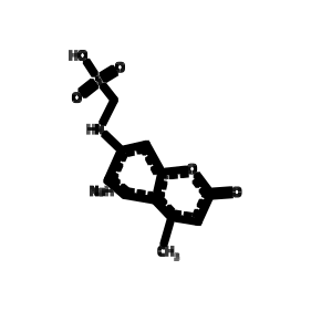 Cc1cc(=O)oc2cc(NCS(=O)(=O)O)ccc12.[NaH]